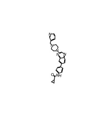 O=C(Nc1ccc(-c2ccc3ncc(N4CCN(Cc5cccnc5)CC4)nc3c2)cc1)C1CC1